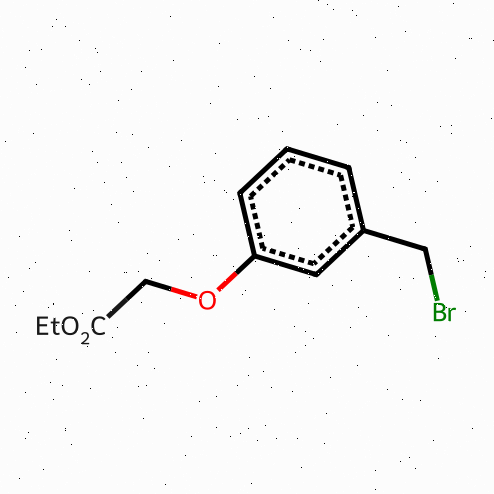 CCOC(=O)COc1cccc(CBr)c1